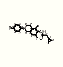 Cc1cc2c(c(C)c1NC(=O)CC1CC1)CCN(c1ccc(F)cc1)C2